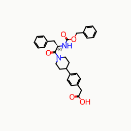 O=C(O)Cc1ccc(C2CCN(C(=O)[C@@H](Cc3ccccc3)NC(=O)OCc3ccccc3)CC2)cc1